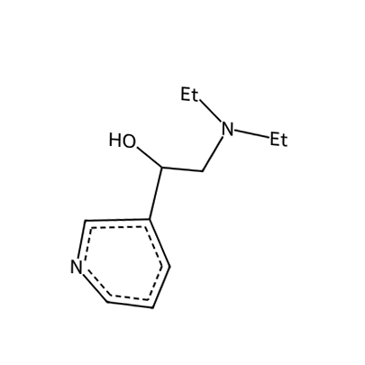 CCN(CC)CC(O)c1cccnc1